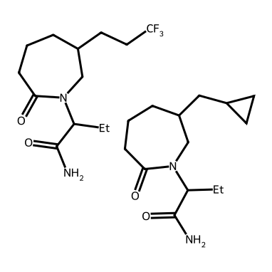 CCC(C(N)=O)N1CC(CC2CC2)CCCC1=O.CCC(C(N)=O)N1CC(CCC(F)(F)F)CCCC1=O